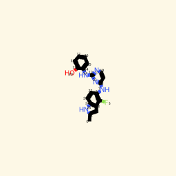 Cc1cc2c(F)c(Nc3ccnc(Nc4ccccc4O)n3)ccc2[nH]1